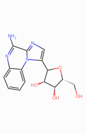 Nc1nc2ccccc2n2c(C3O[C@H](CO)[C@@H](O)[C@H]3O)cnc12